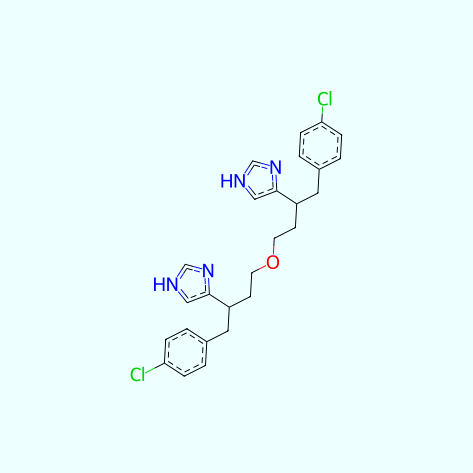 Clc1ccc(CC(CCOCCC(Cc2ccc(Cl)cc2)c2c[nH]cn2)c2c[nH]cn2)cc1